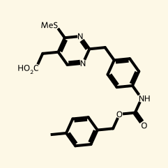 CSc1nc(Cc2ccc(NC(=O)OCc3ccc(C)cc3)cc2)ncc1CC(=O)O